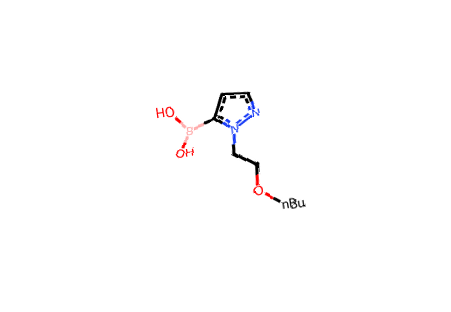 CCCCOCCn1nccc1B(O)O